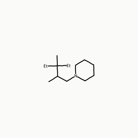 CCC(C)(CC)C(C)CN1CCCCC1